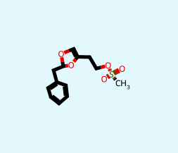 CS(=O)(=O)OCCC1=COC(Cc2ccccc2)O1